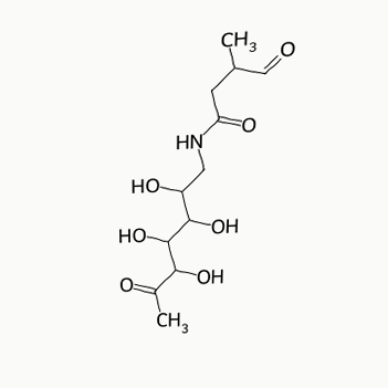 CC(=O)C(O)C(O)C(O)C(O)CNC(=O)CC(C)C=O